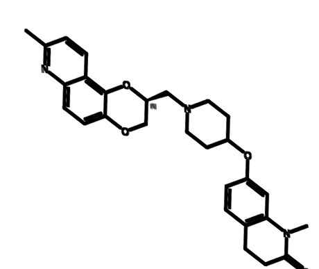 Cc1ccc2c3c(ccc2n1)OC[C@H](CN1CCC(Oc2ccc4c(c2)N(C)C(=O)CC4)CC1)O3